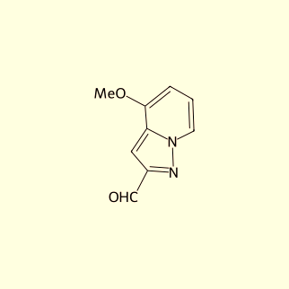 COc1cccn2nc(C=O)cc12